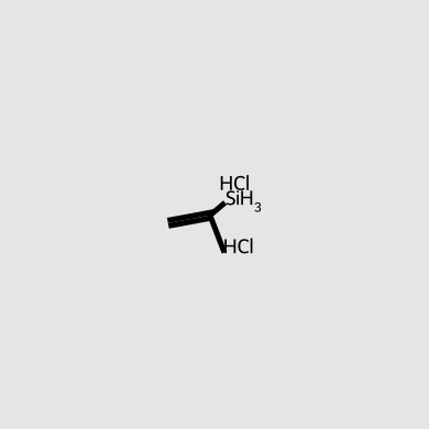 C=C(C)[SiH3].Cl.Cl